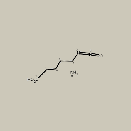 N.[N-]=[N+]=NCCCCC(=O)O